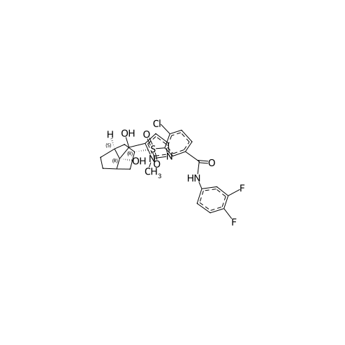 Cn1nccc1C(O)[C@@]1(O)C2CC[C@H]1C[C@H](S(=O)(=O)c1cc(C(=O)Nc3ccc(F)c(F)c3)ccc1Cl)C2